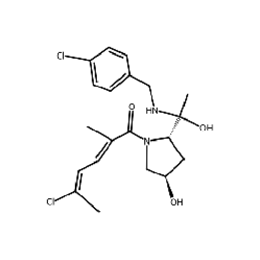 C/C(Cl)=C\C=C(/C)C(=O)N1C[C@H](O)C[C@H]1C(C)(O)NCc1ccc(Cl)cc1